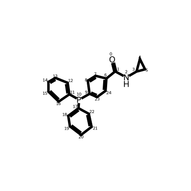 O=C(NC1CC1)c1ccc(P(c2ccccc2)c2ccccc2)cc1